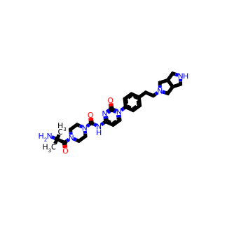 CC(C)(N)C(=O)N1CCN(C(=O)Nc2ccn(-c3ccc(CCN4CC5CNCC5C4)cc3)c(=O)n2)CC1